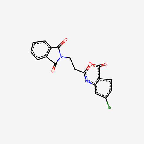 O=C1c2ccccc2C(=O)N1CCc1nc2cc(Br)ccc2c(=O)o1